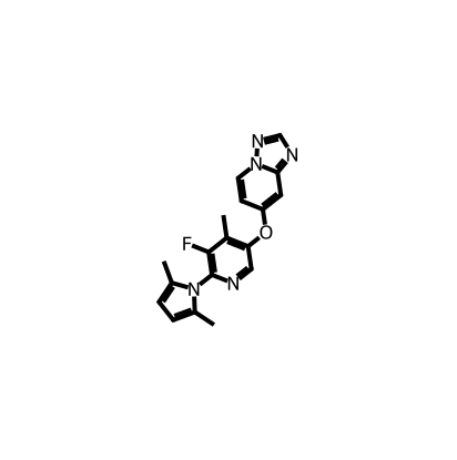 Cc1c(Oc2ccn3ncnc3c2)cnc(-n2c(C)ccc2C)c1F